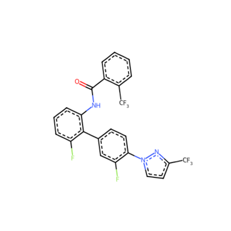 O=C(Nc1cccc(F)c1-c1ccc(-n2ccc(C(F)(F)F)n2)c(F)c1)c1ccccc1C(F)(F)F